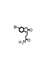 NC(=O)CCN1C(=O)Cc2cc(Br)ccc21